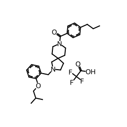 CCCc1ccc(C(=O)N2CCC3(CCN(Cc4ccccc4OCC(C)C)C3)CC2)cc1.O=C(O)C(F)(F)F